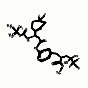 COC(=O)C(Cc1ccnc(NC(=O)[C@@H](NC(=O)OC(C)(C)C)C2CCC(F)(F)CC2)c1)CC(O)(O)C(F)(F)F